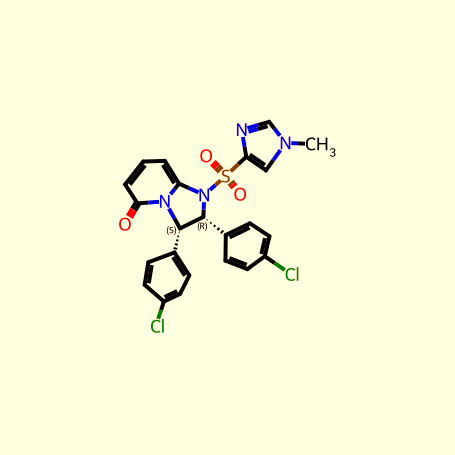 Cn1cnc(S(=O)(=O)N2c3cccc(=O)n3[C@@H](c3ccc(Cl)cc3)[C@H]2c2ccc(Cl)cc2)c1